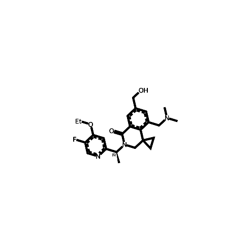 CCOc1cc([C@H](C)N2CC3(CC3)c3c(CN(C)C)cc(CO)cc3C2=O)ncc1F